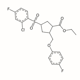 CCOC(=O)C1CC(S(=O)(=O)c2ccc(F)cc2Cl)CC1COc1ccc(F)cc1